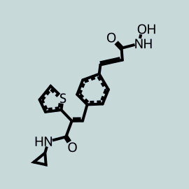 O=C(C=Cc1ccc(C=C(C(=O)NC2CC2)c2cccs2)cc1)NO